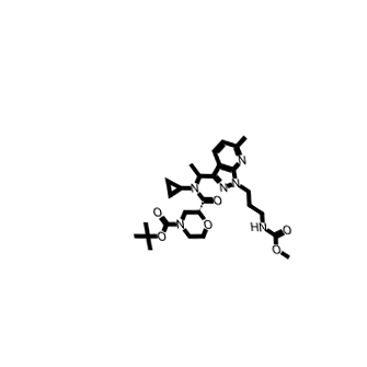 COC(=O)NCCCn1nc(C(C)N(C(=O)[C@H]2CN(C(=O)OC(C)(C)C)CCO2)C2CC2)c2ccc(C)nc21